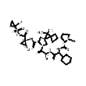 CCCC1(S(=O)(=O)NC(=O)[C@@]2(NC(=O)[C@@H]3C[C@@]4(CN3C(=O)[C@@H](NC(=O)[C@@H](NC(=O)[C@@H]3CCCN3CC)C3CCCCC3)C(C)(C)C)C(C)(C)C43CCC3)C[C@H]2CC)CC1